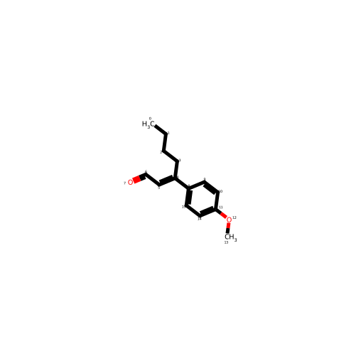 CCCCC(=CC=O)c1ccc(OC)cc1